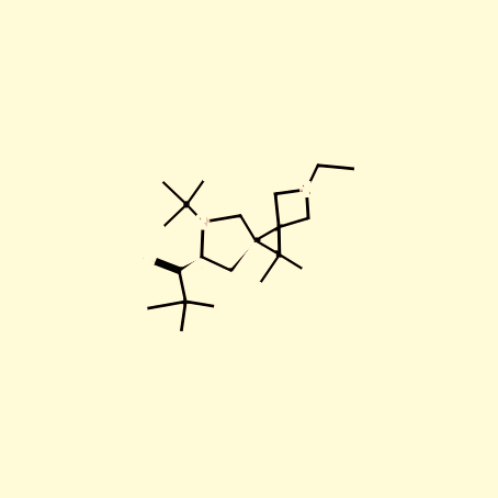 CCN1CC2(C1)C(C)(C)[C@@]21C[C@@H](C(=O)C(C)(C)C)N(C(C)(C)C)C1